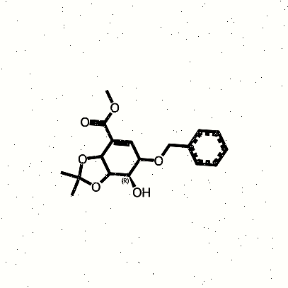 COC(=O)C1=CC(OCc2ccccc2)[C@@H](O)C2OC(C)(C)OC12